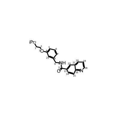 CC(C)CCOc1cccc(CNC(=O)c2ccc3ncccc3c2)c1